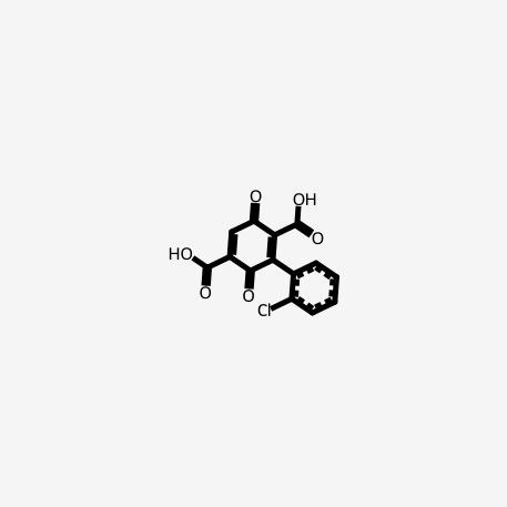 O=C(O)C1=CC(=O)C(C(=O)O)=C(c2ccccc2Cl)C1=O